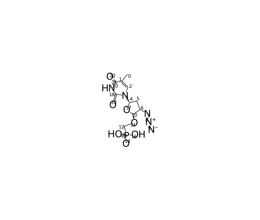 Cc1cn([C@H]2CC(N=[N+]=[N-])[C@@H](OCP(=O)(O)O)O2)c(=O)[nH]c1=O